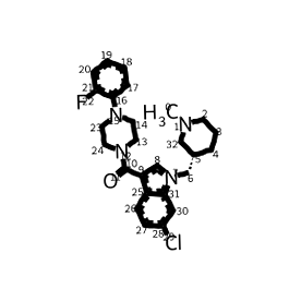 CN1CCC[C@H](Cn2cc(C(=O)N3CCN(c4ccccc4F)CC3)c3ccc(Cl)cc32)C1